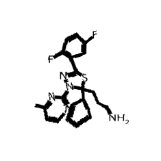 Cc1ccnc(N2N=C(c3cc(F)ccc3F)SC2(CCCN)c2ccccc2)n1